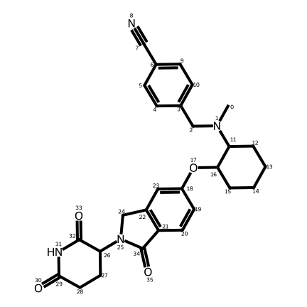 CN(Cc1ccc(C#N)cc1)C1CCCCC1Oc1ccc2c(c1)CN(C1CCC(=O)NC1=O)C2=O